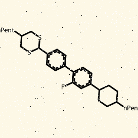 CCCCCC1CCC(c2ccc(-c3ccc(C4SCC(CCCCC)CS4)cc3)c(F)c2)CC1